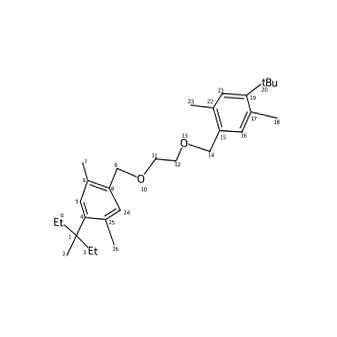 CCC(C)(CC)c1cc(C)c(COCCOCc2cc(C)c(C(C)(C)C)cc2C)cc1C